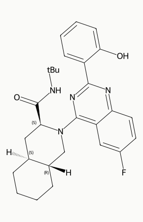 CC(C)(C)NC(=O)[C@@H]1C[C@@H]2CCCC[C@H]2CN1c1nc(-c2ccccc2O)nc2ccc(F)cc12